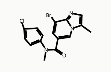 Cc1cnc2c(Br)cc(C(=O)N(C)c3ccc(Cl)cc3)cn12